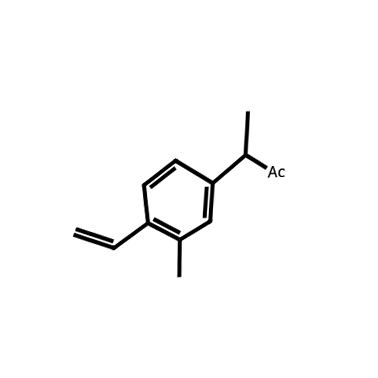 C=Cc1ccc(C(C)C(C)=O)cc1C